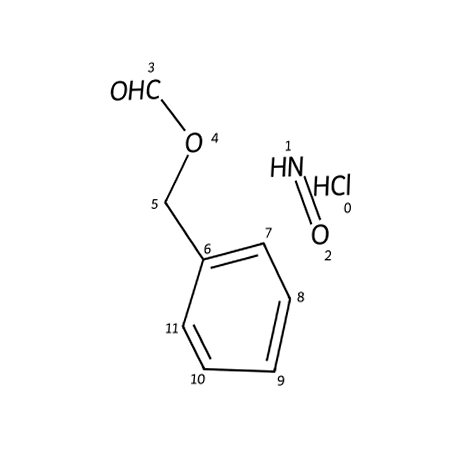 Cl.N=O.O=COCc1ccccc1